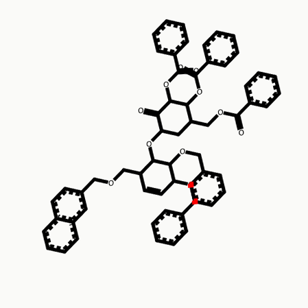 O=C(OCC1CC(OC2C(COCc3ccc4ccccc4c3)C=CC(OCc3ccccc3)C2OCc2ccccc2)C(=O)C(OC(=O)c2ccccc2)C1OC(=O)c1ccccc1)c1ccccc1